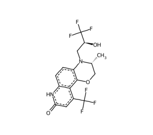 C[C@@H]1COc2c(ccc3[nH]c(=O)cc(C(F)(F)F)c23)N1C[C@H](O)C(F)(F)F